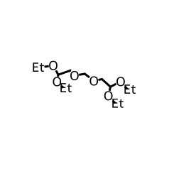 CCOC(COCOCC(OCC)OCC)OCC